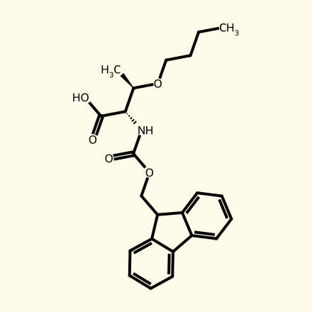 CCCCO[C@H](C)[C@H](NC(=O)OCC1c2ccccc2-c2ccccc21)C(=O)O